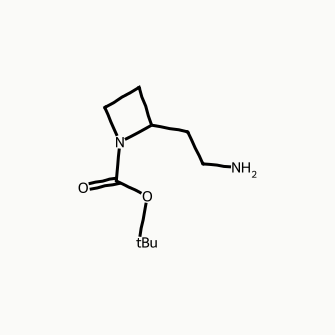 CC(C)(C)OC(=O)N1CCC1CCN